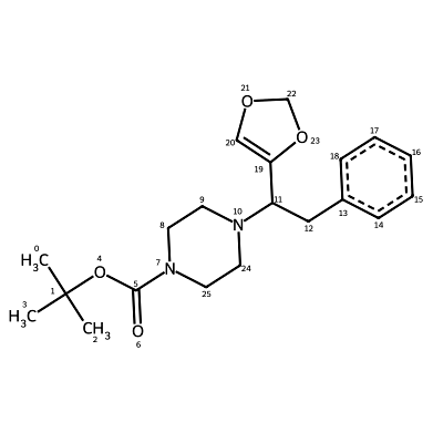 CC(C)(C)OC(=O)N1CCN(C(Cc2ccccc2)C2=COCO2)CC1